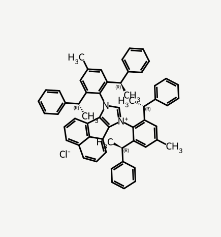 Cc1cc([C@H](C)c2ccccc2)c(-n2c[n+](-c3c([C@H](C)c4ccccc4)cc(C)cc3[C@H](C)c3ccccc3)c3c2-c2cccc4cccc-3c24)c([C@H](C)c2ccccc2)c1.[Cl-]